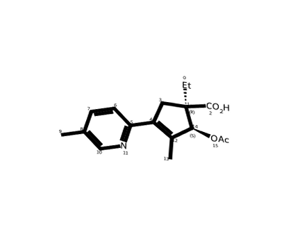 CC[C@@]1(C(=O)O)CC(c2ccc(C)cn2)=C(C)[C@@H]1OC(C)=O